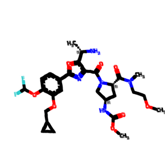 COCCN(C)C(=O)[C@@H]1C[C@@H](NC(=O)OC)CN1C(=O)c1nc(-c2ccc(OC(F)F)c(OCC3CC3)c2)oc1[C@H](C)N